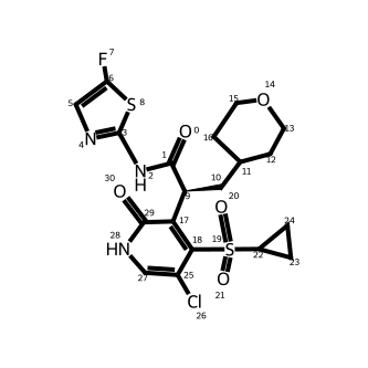 O=C(Nc1ncc(F)s1)[C@@H](CC1CCOCC1)c1c(S(=O)(=O)C2CC2)c(Cl)c[nH]c1=O